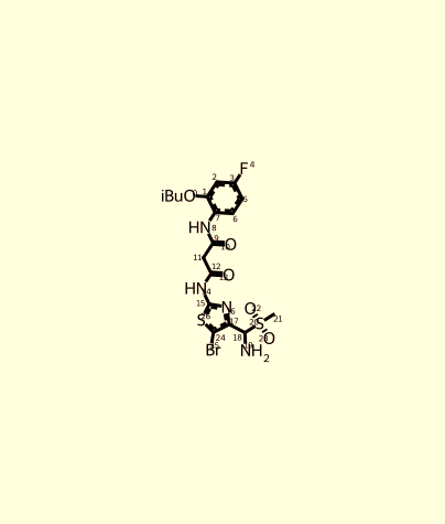 CC(C)COc1cc(F)ccc1NC(=O)CC(=O)Nc1nc(C(N)S(C)(=O)=O)c(Br)s1